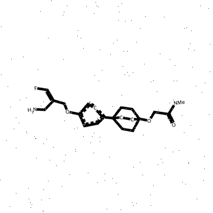 CNC(=O)COC12CCC(c3ccc(OCC(=CF)CN)cc3)(CC1)CC2